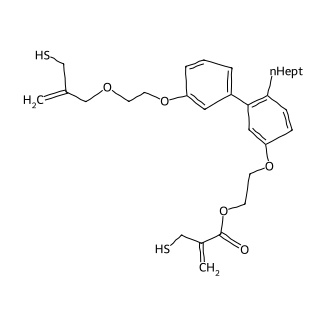 C=C(CS)COCCOc1cccc(-c2cc(OCCOC(=O)C(=C)CS)ccc2CCCCCCC)c1